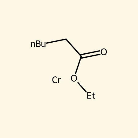 CCCCCC(=O)OCC.[Cr]